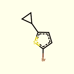 Brc1ccc(C2CC2)s1